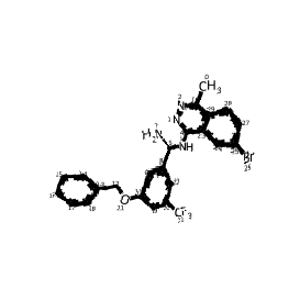 Cc1nnc(N[C@H](N)c2cc(OCc3ccccc3)cc(C(F)(F)F)c2)c2cc(Br)ccc12